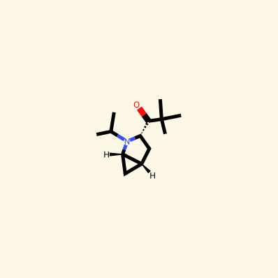 CC(C)N1[C@H](C(=O)C(C)(C)C)C[C@@H]2C[C@@H]21